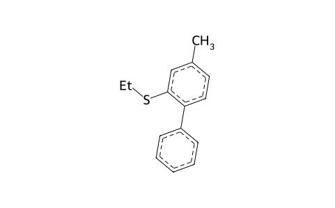 CCSc1cc(C)ccc1-c1ccccc1